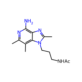 CC(=O)NCCCn1c(C)nc2c(N)nc(C)c(C)c21